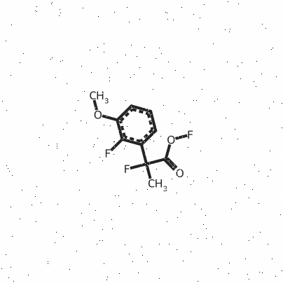 COc1cccc(C(C)(F)C(=O)OF)c1F